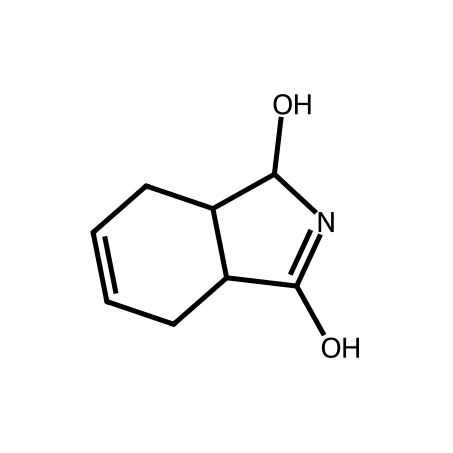 OC1=NC(O)C2CC=CCC12